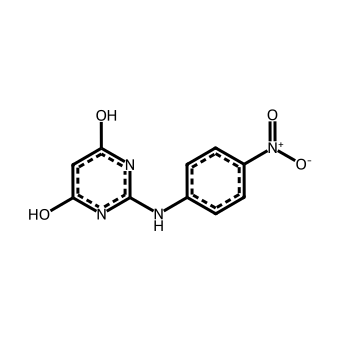 O=[N+]([O-])c1ccc(Nc2nc(O)cc(O)n2)cc1